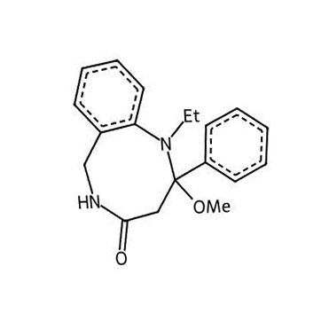 CCN1c2ccccc2CNC(=O)CC1(OC)c1ccccc1